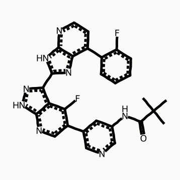 CC(C)(C)C(=O)Nc1cncc(-c2cnc3[nH]nc(-c4nc5c(-c6ccccc6F)ccnc5[nH]4)c3c2F)c1